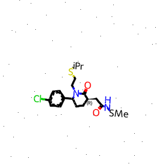 CSNC(=O)C[C@H]1CCC(c2ccc(Cl)cc2)N(CCSC(C)C)C1=O